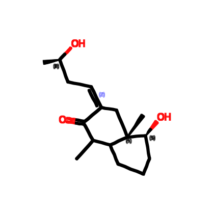 CC1C(=O)/C(=C\C[C@@H](C)O)C[C@@]2(C)C1CCC[C@@H]2O